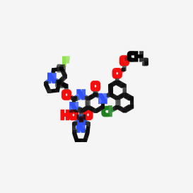 COCOc1cc(N2CCc3c(nc(OC[C@@]45CCCN4C[C@H](F)C5)nc3N3CC4CCC(C3)N4C(=O)O)C2=O)c2c(Cl)cccc2c1